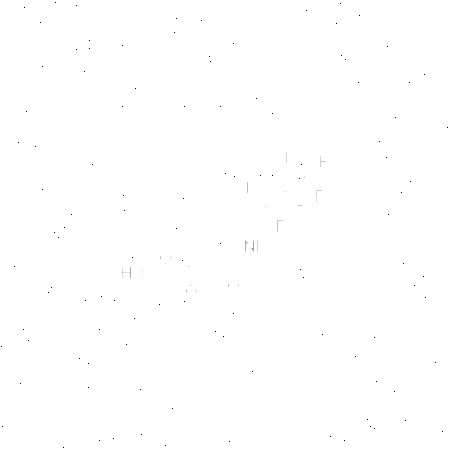 COC(=O)c1ccc(C(F)(F)C(F)(F)C(F)(F)F)[nH]c1=O